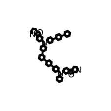 c1ccc(-c2ccc(-c3ccc(N(c4ccc(-c5cccc(-c6ccc(-c7ccc(N(c8ccccc8)c8ccc9c(c8)oc8cnccc89)cc7)cc6)c5)cc4)c4ccc5c(c4)oc4cccnc45)cc3)cc2)cc1